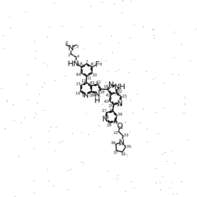 CN(C)CCNc1cc(F)cc(-c2ccnc3[nH]c(-c4n[nH]c5cnc(-c6cncc(OCCN7CCCC7)c6)cc45)cc23)c1